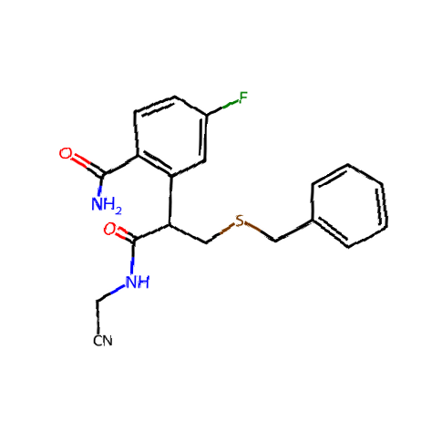 N#CCNC(=O)C(CSCc1ccccc1)c1cc(F)ccc1C(N)=O